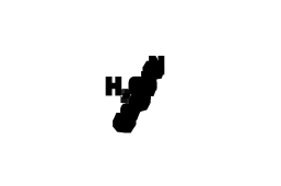 CC1CN(c2ccncc2)CCN1c1ccc(COc2ccccc2)cc1